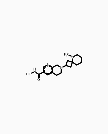 O=C(NO)c1cnc2c(c1)CCN(C1CC3(CCCCN3C(F)(F)F)C1)C2